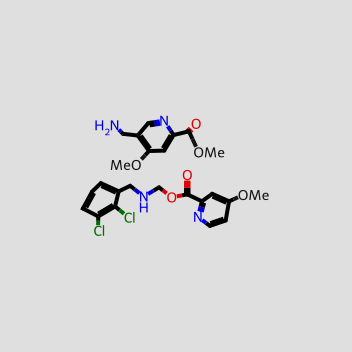 COC(=O)c1cc(OC)c(CN)cn1.COc1ccnc(C(=O)OCNCc2cccc(Cl)c2Cl)c1